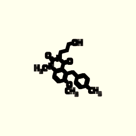 COc1ccc2c(c1Cc1ccc(C)cc1)c(=O)n(CCCO)c(=O)n2C